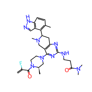 C=C(F)C(=O)N1CCN(c2nc(NCCC(=O)N(C)C)nc3c2CN(C)C(c2c(C)ccc4[nH]ncc24)C3)C[C@H]1C